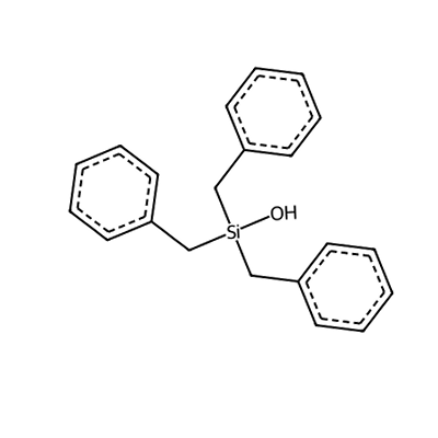 O[Si](Cc1ccccc1)(Cc1ccccc1)Cc1ccccc1